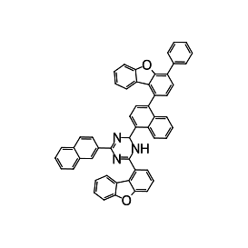 c1ccc(-c2ccc(-c3ccc(C4N=C(c5ccc6ccccc6c5)N=C(c5cccc6oc7ccccc7c56)N4)c4ccccc34)c3c2oc2ccccc23)cc1